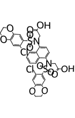 O=C(O)CN(c1ccc(N(CC(=O)O)S(=O)(=O)c2cc3c(cc2Cl)OCCO3)c2ccccc12)S(=O)(=O)c1cc2c(cc1Cl)OCCO2